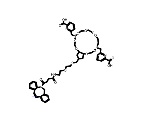 O=C(CCC(=O)N1Cc2ccccc2/C=C\c2ccccc21)NCCOCCSCC1CC2OCCN(Cc3cccc(C(=O)O)n3)CCOCCOCCN(Cc3cccc(C(=O)O)n3)CCOC2C1